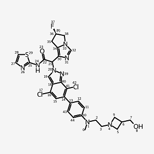 CN(CCN1CC(CO)C1)c1ccc(-c2cc(Cl)c3cn(C(C(=O)Nc4nccs4)c4ncn5c4C[C@@H](F)C5)nc3c2Cl)cc1